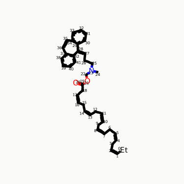 CC/C=C\C/C=C\C/C=C\C/C=C\C/C=C\C/C=C\CC(=O)OCN(C)CCC=C1c2ccccc2C=Cc2ccccc21